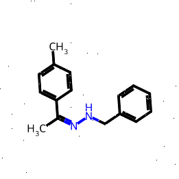 C/C(=N/NCc1ccccc1)c1ccc(C)cc1